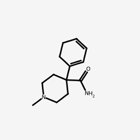 CN1CCC(C(N)=O)(C2=CC=CCC2)CC1